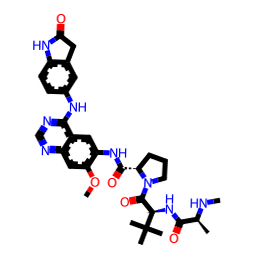 CN[C@@H](C)C(=O)N[C@H](C(=O)N1CCC[C@H]1C(=O)Nc1cc2c(Nc3ccc4c(c3)CC(=O)N4)ncnc2cc1OC)C(C)(C)C